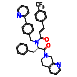 O=C([C@H](Cc1ccccc1)N(Cc1ccc(-c2ccccn2)cc1)C(=O)C=Cc1ccc(C(F)(F)F)cc1)N1CCc2cccnc2C1